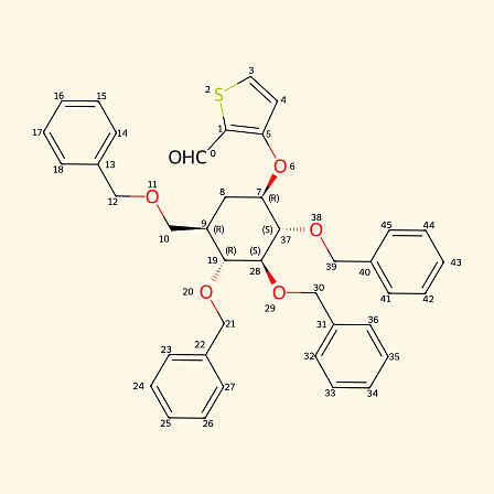 O=Cc1sccc1O[C@@H]1C[C@H](COCc2ccccc2)[C@@H](OCc2ccccc2)[C@H](OCc2ccccc2)[C@H]1OCc1ccccc1